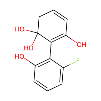 OC1=C(c2c(O)cccc2F)C(O)(O)CC=C1